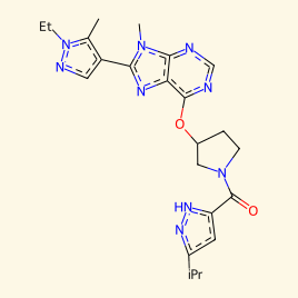 CCn1ncc(-c2nc3c(OC4CCN(C(=O)c5cc(C(C)C)n[nH]5)C4)ncnc3n2C)c1C